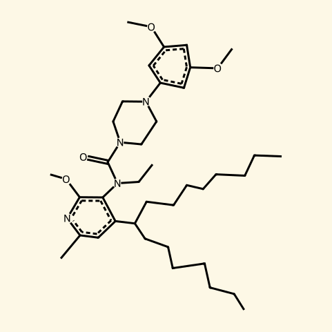 CCCCCCCCC(CCCCCCC)c1cc(C)nc(OC)c1N(CC)C(=O)N1CCN(c2cc(OC)cc(OC)c2)CC1